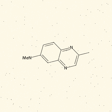 CNc1ccc2nc(C)cnc2c1